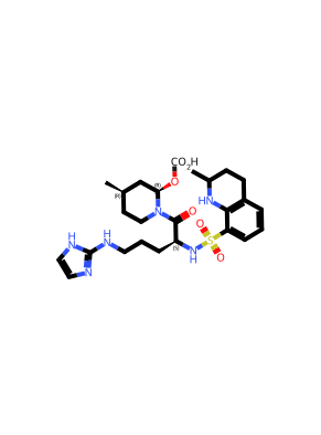 CC1CCc2cccc(S(=O)(=O)N[C@@H](CCCNc3ncc[nH]3)C(=O)N3CC[C@@H](C)C[C@H]3OC(=O)O)c2N1